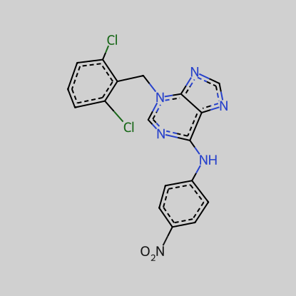 O=[N+]([O-])c1ccc(Nc2ncn(Cc3c(Cl)cccc3Cl)c3ncnc2-3)cc1